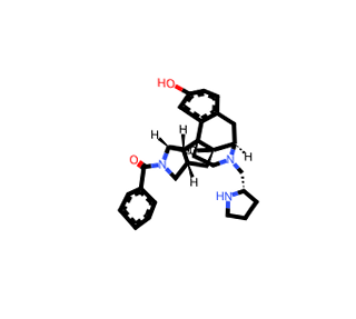 O=C(c1ccccc1)N1C[C@H]2C[C@@]34CC[C@@H]1[C@@H]2[C@@]31CCN(C[C@@H]2CCCN2)[C@@H]4Cc2ccc(O)cc21